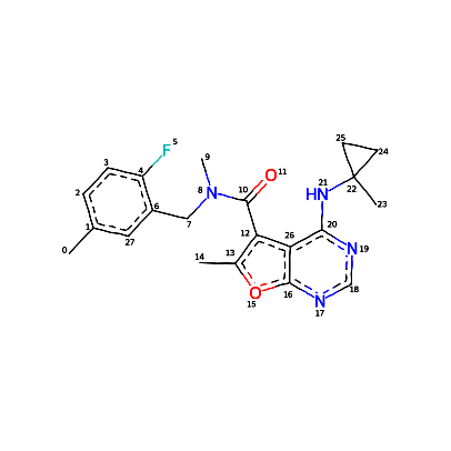 Cc1ccc(F)c(CN(C)C(=O)c2c(C)oc3ncnc(NC4(C)CC4)c23)c1